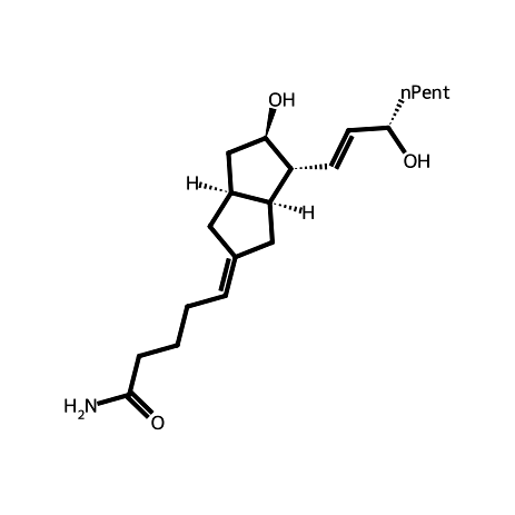 CCCCC[C@H](O)/C=C/[C@@H]1[C@H]2CC(=CCCCC(N)=O)C[C@H]2C[C@H]1O